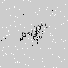 Cc1cc(N)cc2[nH]c(-c3c(NCC(O)c4cccc(CI)c4)cc[nH]c3=O)nc12